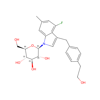 Cc1cc(F)c2c(Cc3ccc(CCO)cc3)cn([C@@H]3O[C@H](CO)[C@@H](O)[C@H](O)[C@H]3O)c2c1